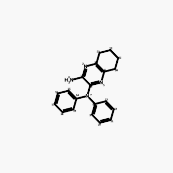 Nc1nc2c(nc1N(c1ccccc1)c1ccccc1)CCCC2